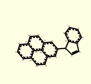 [c]1c(C2C=Cc3ccccc32)cc2ccc3cccc4ccc1c2c43